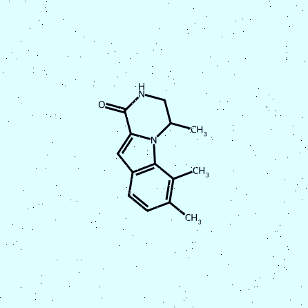 Cc1ccc2cc3n(c2c1C)C(C)CNC3=O